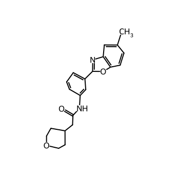 Cc1ccc2oc(-c3cccc(NC(=O)CC4CCOCC4)c3)nc2c1